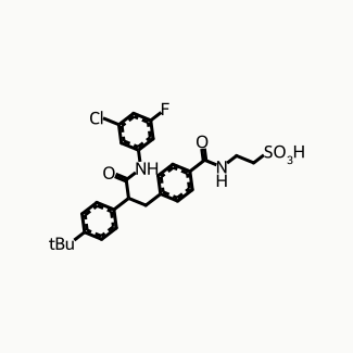 CC(C)(C)c1ccc(C(Cc2ccc(C(=O)NCCS(=O)(=O)O)cc2)C(=O)Nc2cc(F)cc(Cl)c2)cc1